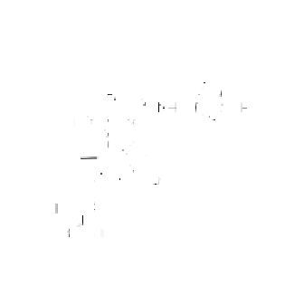 O=C(NCc1ccc(F)cc1F)C1=CN2C(=C(O)C1O)C(=O)N(CCP(=O)(O)O)C[C@]21CCOC1